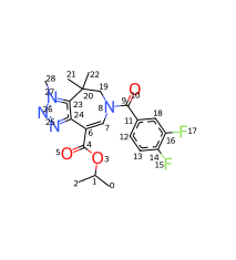 CC(C)OC(=O)C1=CN(C(=O)c2ccc(F)c(F)c2)CC(C)(C)c2c1nnn2C